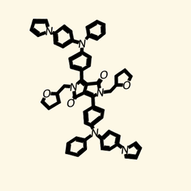 O=C1C2=C(c3ccc(N(c4ccccc4)c4ccc(-n5cccc5)cc4)cc3)N(CC3CCCO3)C(=O)C2=C(c2ccc(N(c3ccccc3)c3ccc(-n4cccc4)cc3)cc2)N1CC1CCCO1